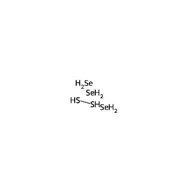 SS.[SeH2].[SeH2].[SeH2]